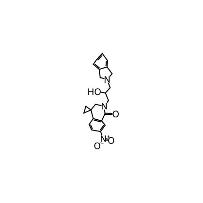 O=C1c2cc([N+](=O)[O-])ccc2C2(CC2)CN1CC(O)CN1Cc2ccccc2C1